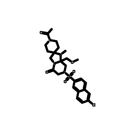 COCC12CN(S(=O)(=O)c3ccc4cc(Cl)ccc4c3)CC(=O)N1CC1(CCN(C(C)=O)CC1)N2C